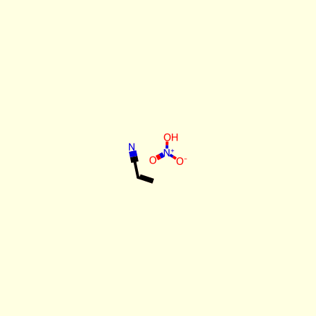 C=CC#N.O=[N+]([O-])O